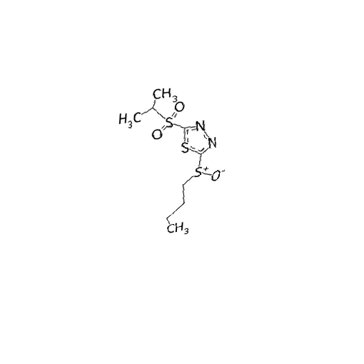 CCCC[S+]([O-])c1nnc(S(=O)(=O)C(C)C)s1